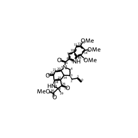 C=CC[C@@H]1CN(C(=O)c2cc3cc(OC)c(OC)c(OC)c3[nH]2)C2=CC(=O)C3=C(C(=O)[C@](C)(C(=O)OC)N3)C21